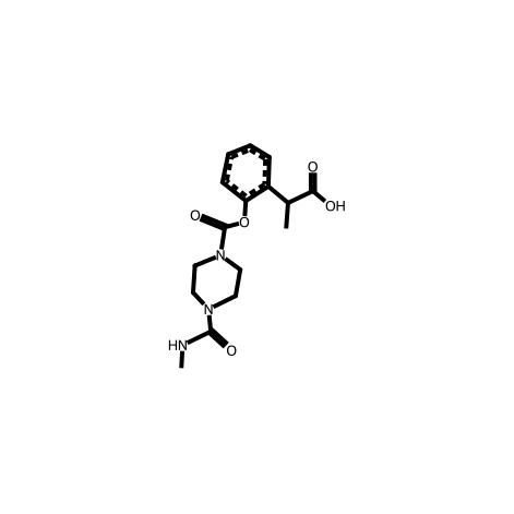 CNC(=O)N1CCN(C(=O)Oc2ccccc2C(C)C(=O)O)CC1